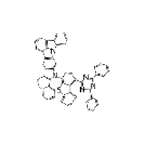 c1ccc(-c2nc(-c3ccccc3)nc(-c3ccc(-n4c5cc6c(cc5c5ccc7ccccc7c54)c4cccc5c7ccccc7n6c54)c4sc5ccccc5c34)n2)cc1